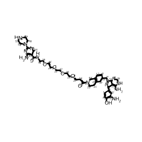 NC1=c2c(-c3ccc(O)c(N)c3)nn(Cc3ccc4c(c3)CCN(C(=O)CCOCCOCCOCCOCCNC(=O)c3cnc(N5CCNCC5)nc3N)C4)c2=NCN1